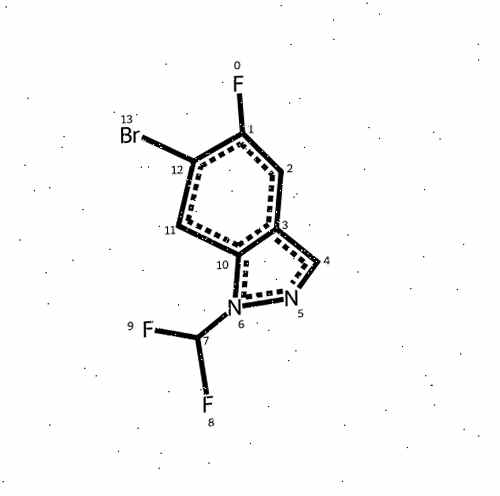 Fc1cc2cnn(C(F)F)c2cc1Br